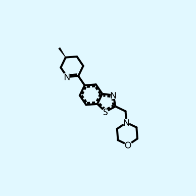 C[C@H]1CCC(c2ccc3sc(CN4CCOCC4)nc3c2)=NC1